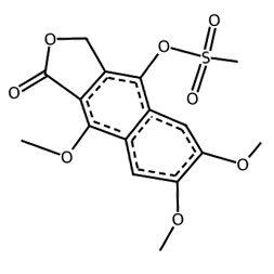 COc1cc2c(OS(C)(=O)=O)c3c(c(OC)c2cc1OC)C(=O)OC3